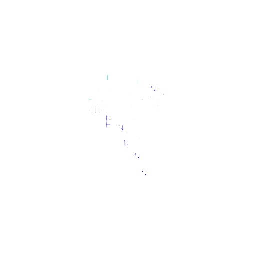 CN1CCN(c2nc3nc(C(Cc4cc(F)cc(F)c4)NC=O)c(-c4ccc(F)c(C(N)=O)c4)cc3s2)CC1